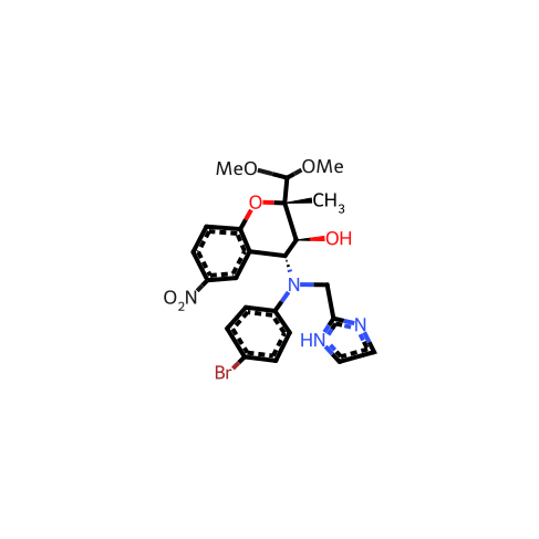 COC(OC)[C@@]1(C)Oc2ccc([N+](=O)[O-])cc2[C@@H](N(Cc2ncc[nH]2)c2ccc(Br)cc2)[C@@H]1O